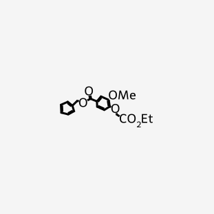 CCOC(=O)COc1ccc(C(=O)OCc2ccccc2)cc1OC